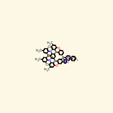 Cc1cc(C)c(N2c3cc4c(cc3B3c5ccccc5Oc5cc(C)cc2c53)B2c3cc5c(cc3Oc3cc(C)cc(c32)N4c2c(C)cc(C)cc2C)Nc2cc(C)cc3c2B5c2ccccc2N3c2ccccc2)c(C)c1